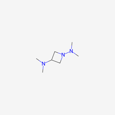 CN(C)C1CN(N(C)C)C1